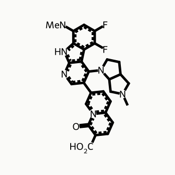 CNc1cc(F)c(F)c2c1[nH]c1ncc(-c3ccc4ccc(C(=O)O)c(=O)n4c3)c(N3CCC4CN(C)CC43)c12